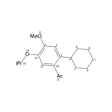 COc1cc(C2CCCCC2)c(C(C)=O)cc1OC(C)C